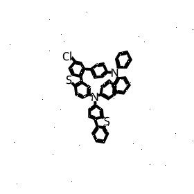 Clc1cc(-c2ccc(N(c3ccccc3)c3ccccc3)cc2)c2c(c1)sc1ccc(N(c3ccccc3)c3ccc4c(c3)sc3ccccc34)cc12